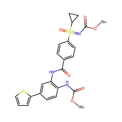 CC(C)(C)OC(=O)N=S(=O)(c1ccc(C(=O)Nc2cc(-c3cccs3)ccc2NC(=O)OC(C)(C)C)cc1)C1CC1